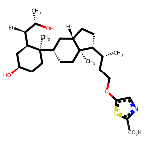 CC[C@@H]([C@H](C)O)[C@@H]1C[C@H](O)CC[C@]1(C)[C@H]1CC[C@@]2(C)[C@@H](CC[C@@H]2[C@H](C)CCOc2cnc(C(=O)O)s2)C1